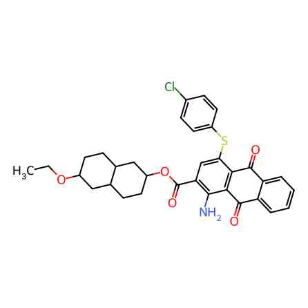 CCOC1CCC2CC(OC(=O)c3cc(Sc4ccc(Cl)cc4)c4c(c3N)C(=O)c3ccccc3C4=O)CCC2C1